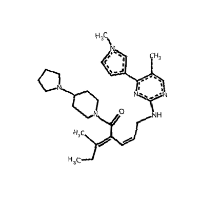 CC/C(C)=C(\C=C/CNc1ncc(C)c(-c2ccn(C)c2)n1)C(=O)N1CCC(N2CCCC2)CC1